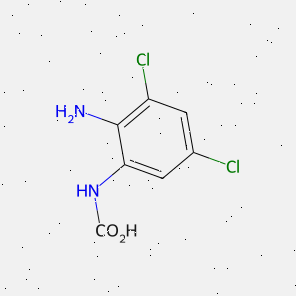 Nc1c(Cl)cc(Cl)cc1NC(=O)O